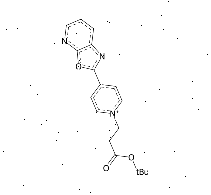 CC(C)(C)OC(=O)CC[n+]1ccc(-c2nc3cccnc3o2)cc1